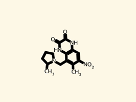 Cc1c([N+](=O)[O-])cc2[nH]c(=O)c(=O)[nH]c2c1CN1CCCC1C